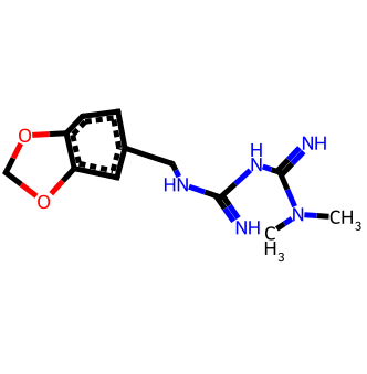 CN(C)C(=N)NC(=N)NCc1ccc2c(c1)OCO2